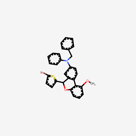 COc1cccc2c1-c1ccc(N(Cc3ccccc3)c3ccccc3)cc1C(c1ccc(Br)s1)O2